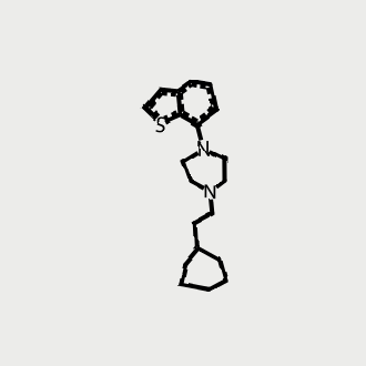 c1cc(N2CCN(CCC3CCCCC3)CC2)c2sccc2c1